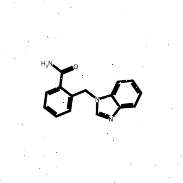 NC(=O)c1ccccc1Cn1cnc2ccccc21